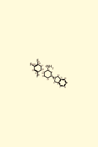 N[C@H]1C[C@@H](N2Cc3ccccc3C2)CCC1[C@H]1CC(F)=C(F)C=C1F